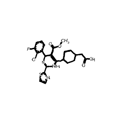 COC(=O)C1=C(C2CCC(CC(=O)O)CC2)NC(c2nccs2)=NC1c1cccc(F)c1Cl